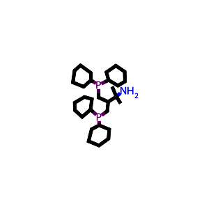 CC(C)(N)C(CP(C1CCCCC1)C1CCCCC1)CP(C1CCCCC1)C1CCCCC1